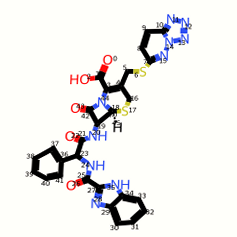 O=C(O)C1=C(CSc2ccc3nnnn3n2)CS[C@H]2C(NC(=O)C(NC(=O)c3nc4ccccc4[nH]3)c3ccccc3)C(=O)N12